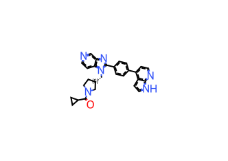 O=C(C1CC1)N1CC[C@H](Cn2c(-c3ccc(-c4ccnc5[nH]ccc45)cc3)nc3cnccc32)C1